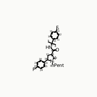 CCCCCN1N=C(C(=O)NC(C)(C)c2ccc(F)cc2)CC1c1ccc(F)cc1